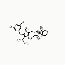 CCOC1(OCCc2nc(C(C)C)c(Sc3cc(Cl)cc(Cl)c3)n2C)CC2CCC1(C)C2(C)C